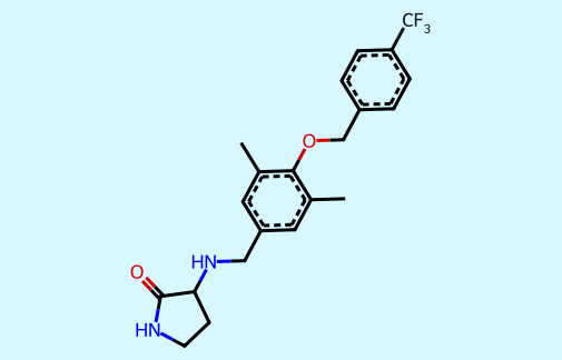 Cc1cc(CNC2CCNC2=O)cc(C)c1OCc1ccc(C(F)(F)F)cc1